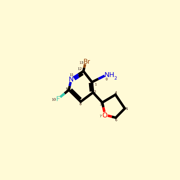 Nc1c(C2CCCO2)cc(F)nc1Br